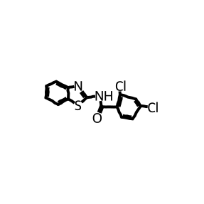 O=C(Nc1nc2ccccc2s1)c1ccc(Cl)cc1Cl